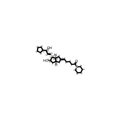 O=C(CCC/C=C1\C[C@H]2C[C@@H](O)[C@H](/C=C/[C@@H](O)C3CCCC3)[C@H]2C1)N1CCCCC1